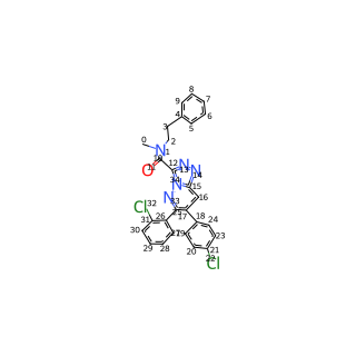 CN(CCc1ccccc1)C(=O)c1nnc2cc(-c3ccc(Cl)cc3)c(-c3ccccc3Cl)nn12